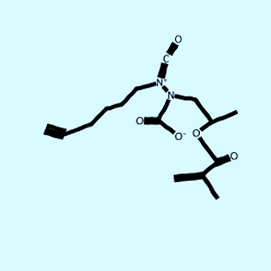 C#CCCCC[N+](=C=O)N(CC(C)OC(=O)C(=C)C)C(=O)[O-]